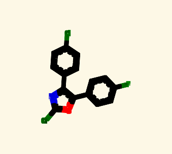 Fc1ccc(-c2oc(Cl)nc2-c2ccc(Cl)cc2)cc1